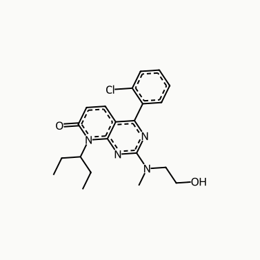 CCC(CC)n1c(=O)ccc2c(-c3ccccc3Cl)nc(N(C)CCO)nc21